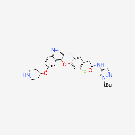 Cc1cc(CC(=O)Nc2cnn(C(C)(C)C)c2)c(F)cc1Oc1ccnc2ccc(OC3CCNCC3)cc12